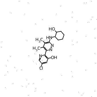 Cc1c(NC2CCCCC2O)nnc(-c2ncc(Cl)cc2O)c1C